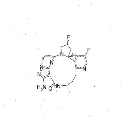 C[C@H]1CCc2ncc(F)cc2[C@H]2C[C@H](F)CN2c2ccn3nc(N)c(c3n2)C(=O)N1